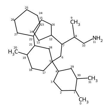 CC1CCC(C2(CC(C(C)CN)C3CCCC3)CCC(C)C(C3CCCCC3)C2)CC1C